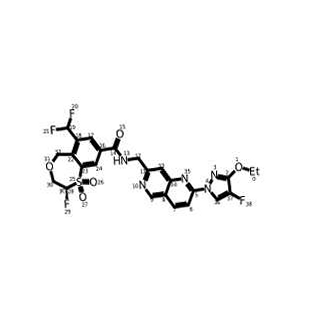 CCOc1nn(-c2ccc3cnc(CNC(=O)c4cc(C(F)F)c5c(c4)S(=O)(=O)[C@@H](F)COC5)cc3n2)cc1F